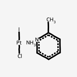 Cc1ccccn1.N.[Cl][Pt][I]